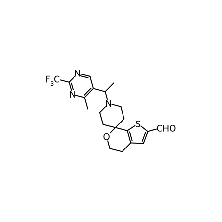 Cc1nc(C(F)(F)F)ncc1C(C)N1CCC2(CC1)OCCc1cc(C=O)sc12